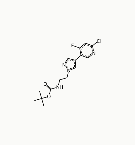 CC(C)(C)OC(=O)NCCn1cc(-c2cnc(Cl)cc2F)cn1